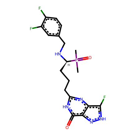 CP(C)(=O)[C@@H](CCCc1nc2c(F)[nH]nc2c(=O)[nH]1)NCc1ccc(F)c(F)c1